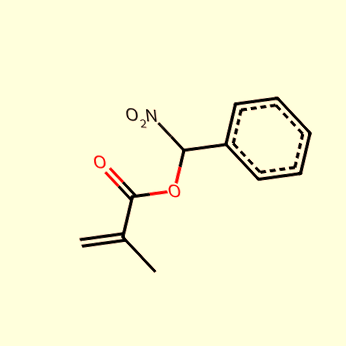 C=C(C)C(=O)OC(c1ccccc1)[N+](=O)[O-]